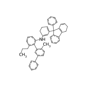 CCCc1cccc(NC2=CC(C3(c4ccccc4)C4=C(CCC=C4)c4ccccc43)=CCC2)c1-c1cc(-c2ccccc2)ccc1C